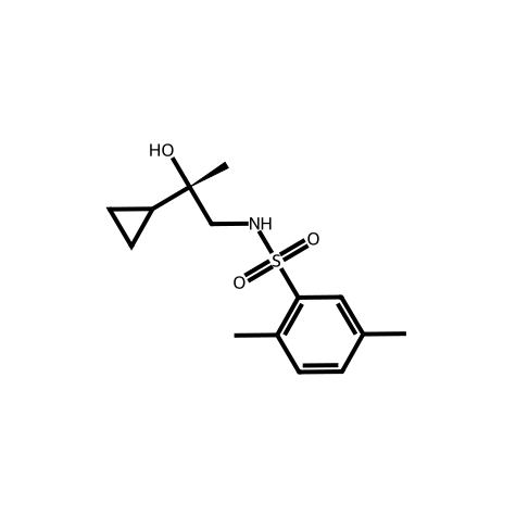 Cc1ccc(C)c(S(=O)(=O)NC[C@@](C)(O)C2CC2)c1